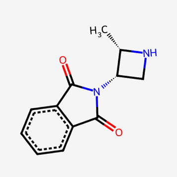 C[C@@H]1NC[C@@H]1N1C(=O)c2ccccc2C1=O